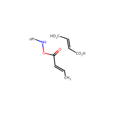 CC=CC(=O)ONCCC.O=C(O)/C=C/C(=O)O